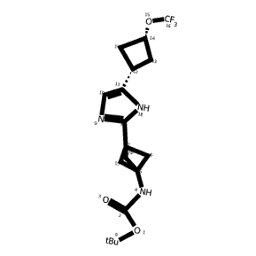 CC(C)(C)OC(=O)NC12CC(c3ncc([C@H]4C[C@@H](OC(F)(F)F)C4)[nH]3)(C1)C2